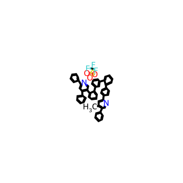 Cc1cc(-c2ccc(-c3ccccc3-c3cc(OS(=O)(=O)C(F)(F)F)cc(-c4ccccc4-c4cnc(-c5ccccc5)cc4-c4ccccc4)c3)cc2)ncc1-c1ccccc1